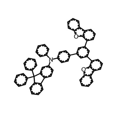 c1ccc(N(c2ccc(-c3cc(-c4cccc5c4oc4ccccc45)cc(-c4cccc5c4oc4ccccc45)c3)cc2)c2ccc3c(c2)C(c2ccccc2)(c2ccccc2)c2ccccc2-3)cc1